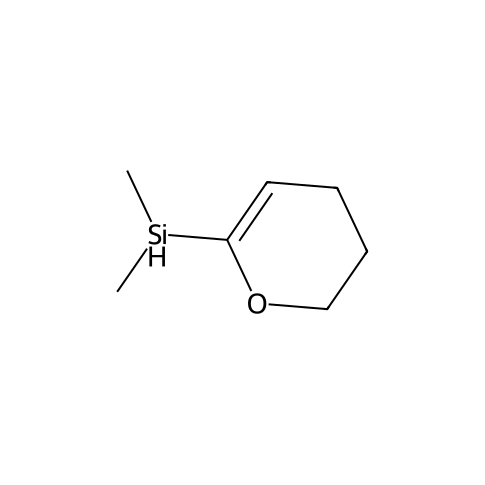 C[SiH](C)C1=CCCCO1